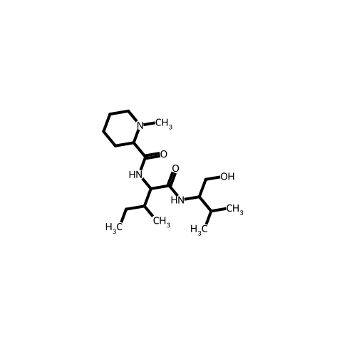 CCC(C)C(NC(=O)C1CCCCN1C)C(=O)NC(CO)C(C)C